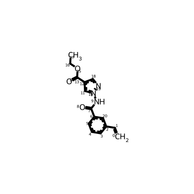 C=Cc1cccc(C(=O)Nn2cc(C(=O)OCC)cn2)c1